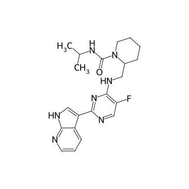 CC(C)NC(=O)N1CCCCC1CNc1nc(-c2c[nH]c3ncccc23)ncc1F